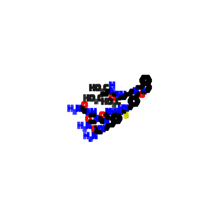 NC(=O)CNCCN(CCN(CC(N)=O)C(CNCC(N)=O)Cc1ccc(NC(=S)NCC2CCC(C(=O)N(CCCC[C@@H](NC(=O)N[C@H](CCC(=O)O)C(=O)O)C(=O)O)Cc3nccc4ccccc34)CC2)cc1)CC(N)=O